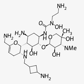 CN[C@@H]1[C@@H](O)[C@@H](O[C@H]2[C@H](NC(=O)N(O)CCN)C[C@H](N)C([C@H]3OC(CN)=CC[C@H]3NCC3CC(N)C3)[C@@H]2O)OC[C@]1(C)O